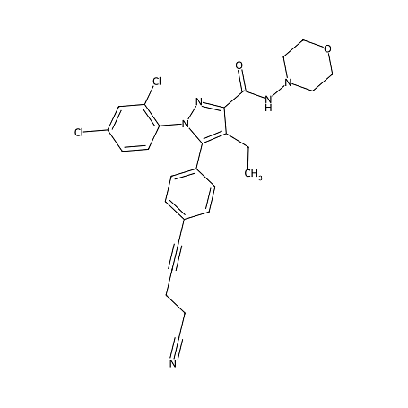 CCc1c(C(=O)NN2CCOCC2)nn(-c2ccc(Cl)cc2Cl)c1-c1ccc(C#CCCC#N)cc1